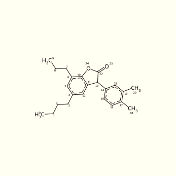 CCCCc1cc(CCC)c2c(c1)C(c1ccc(C)c(C)c1)C(=O)O2